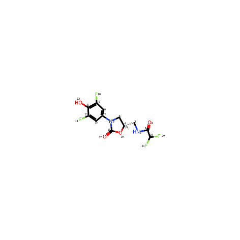 O=C(NC[C@H]1CN(c2cc(F)c(O)c(F)c2)C(=O)O1)C(F)F